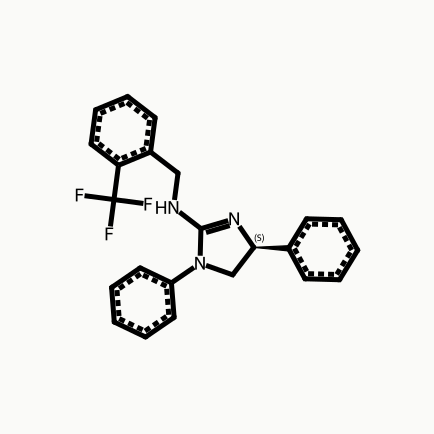 FC(F)(F)c1ccccc1CNC1=N[C@@H](c2ccccc2)CN1c1ccccc1